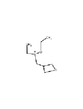 CCO[SiH](CC)CC1COC1